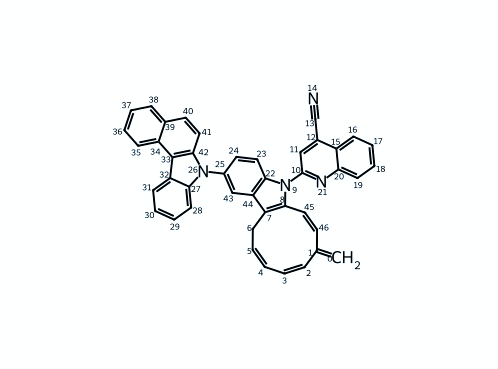 C=C1/C=C\C=C/Cc2c(n(-c3cc(C#N)c4ccccc4n3)c3ccc(-n4c5ccccc5c5c6ccccc6ccc54)cc23)/C=C\1